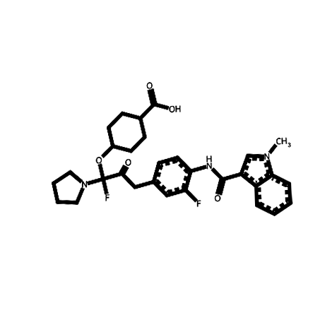 Cn1cc(C(=O)Nc2ccc(CC(=O)C(F)(OC3CCC(C(=O)O)CC3)N3CCCC3)cc2F)c2ccccc21